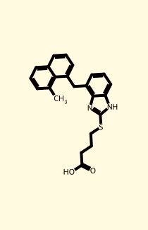 Cc1cccc2cccc(Cc3cccc4[nH]c(SCCCC(=O)O)nc34)c12